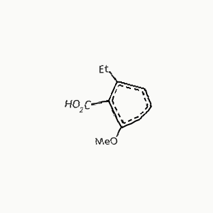 CCc1cccc(OC)c1C(=O)O